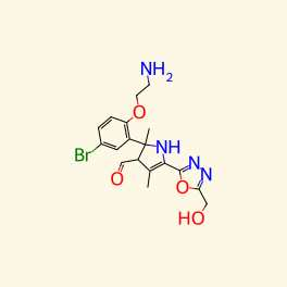 CC1=C(c2nnc(CO)o2)NC(C)(c2cc(Br)ccc2OCCN)C1C=O